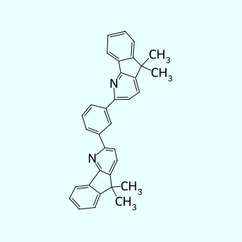 CC1(C)c2ccccc2-c2nc(-c3cccc(-c4ccc5c(n4)-c4ccccc4C5(C)C)c3)ccc21